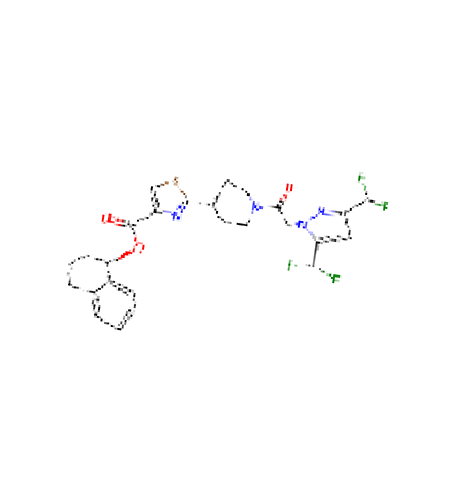 O=C(O[C@@H]1CCCc2ccccc21)c1csc(C2CCN(C(=O)Cn3nc(C(F)F)cc3C(F)F)CC2)n1